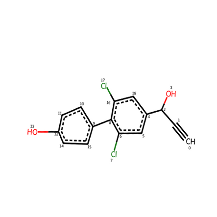 C#CC(O)c1cc(Cl)c(-c2ccc(O)cc2)c(Cl)c1